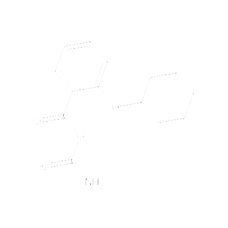 NC(=O)OC(=O)c1ccccc1OC1CCCCC1